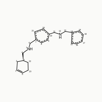 C1=CC[C@@H](CNCc2ccc(CNCc3ccccc3)cc2)CC1